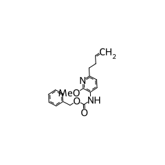 C=CCCc1ccc(NC(=O)OCc2ccccc2)c(OC)n1